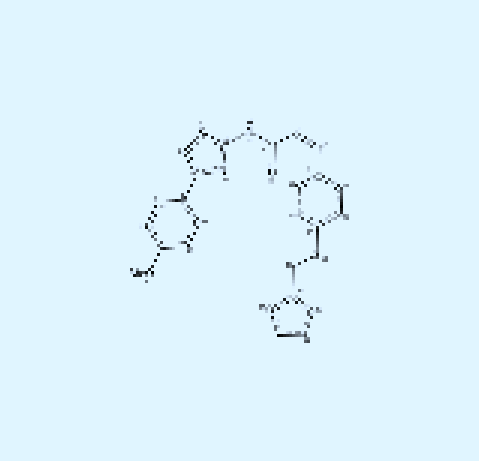 COc1ccc(-c2csc(NC(=O)/C=C\c3ccc(SCc4ccco4)cc3)n2)cc1